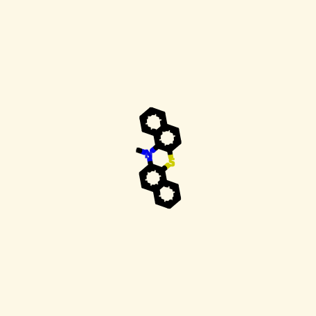 CN1c2ccc3ccccc3c2Sc2ccc3ccccc3c21